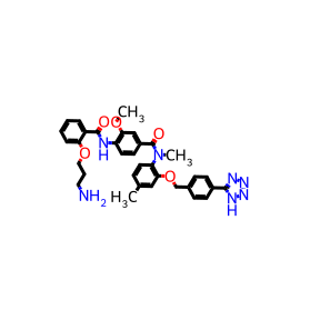 COc1cc(C(=O)N(C)c2ccc(C)cc2OCc2ccc(-c3nnn[nH]3)cc2)ccc1NC(=O)c1ccccc1OCCCN